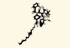 CCCCCCCCCCCCOC(=O)c1ccc(-n2c(C(C(=O)Nc3ccccc3OC)N3C(=O)OC(C)(CC)C3=O)nc3ccccc3c2=O)cc1